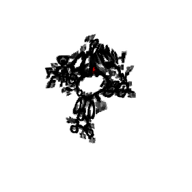 CC[C@H]1OC(=O)[C@H](C)[C@@H](O[C@H]2C[C@@](C)(OC)C(=O)[C@H](C)O2)[C@H](C)[C@@H](O[C@@H]2O[C@H](C)C[C@H](N(C)CCC3=CN([C@H](CF)[C@H](OC)c4ccc(S(=O)(=O)CC(F)(F)F)cc4)NN3)[C@H]2O)[C@](C)(O)C[C@@H](C)CN(C)[C@H](C)[C@@H](O)[C@]1(C)O